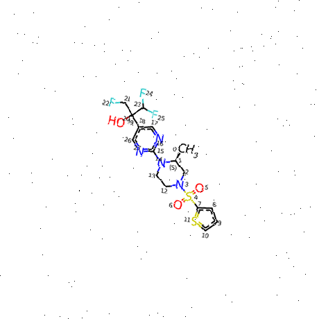 C[C@H]1CN(S(=O)(=O)c2cccs2)CCN1c1ncc(C(O)(CF)C(F)F)cn1